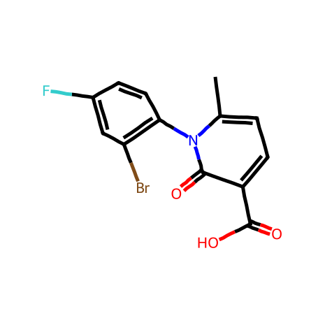 Cc1ccc(C(=O)O)c(=O)n1-c1ccc(F)cc1Br